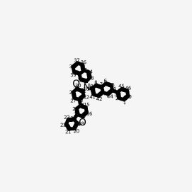 c1ccc(-c2ccc3cc(N4c5cc(-c6ccc7oc8ccccc8c7c6)ccc5Oc5c4ccc4ccccc54)ccc3c2)cc1